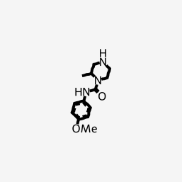 COc1ccc(NC(=O)N2CCNCC2C)cc1